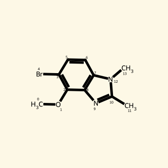 COc1c(Br)ccc2c1nc(C)n2C